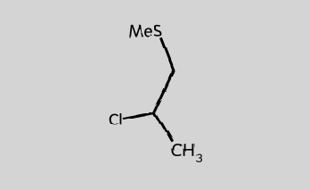 CSCC(C)Cl